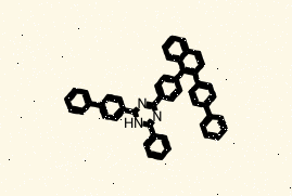 c1ccc(C2=NC(c3ccc(-c4c(-c5ccc(-c6ccccc6)cc5)ccc5ccccc45)cc3)=NC(c3ccc(-c4ccccc4)cc3)N2)cc1